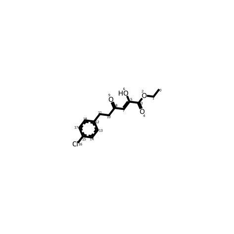 CCOC(=O)C(O)=CC(=O)CCc1ccc(Cl)cc1